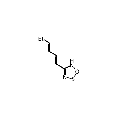 [CH2]CC=CC=CC1=NSON1